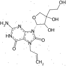 C=CCn1c(=O)n([C@@H]2OCC(O)(CCO)C2O)c2nc(N)[nH]c(=O)c21